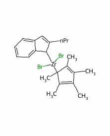 CCCC1=Cc2ccccc2[CH]1[Zr]([Br])([Br])[C]1(C)C(C)=C(C)C(C)=C1C